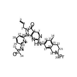 C=CCn1c(=O)c2cnc(Nc3cc(C)c4c(c3)CN(C(C)C)CC4)nc2n1-c1cccc(N=S(C)(C)=O)n1